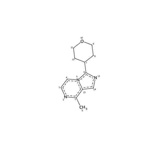 Cc1nccn2c(C3CCOCC3)ncc12